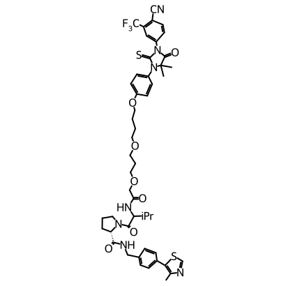 Cc1ncsc1-c1ccc(CNC(=O)[C@@H]2CCCN2C(=O)C(NC(=O)COCCCOCCCCOc2ccc(N3C(=S)N(c4ccc(C#N)c(C(F)(F)F)c4)C(=O)C3(C)C)cc2)C(C)C)cc1